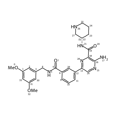 COc1cc(CNC(=O)c2cccc(-c3cnc(N)c(C(=O)N[C@H]4CCCNC4)n3)c2)cc(OC)c1